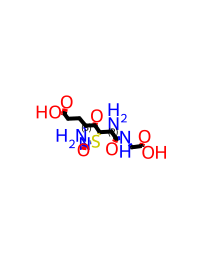 N[C@H](C(=O)NCC(=O)O)C(SN=O)C(=O)[C@@H](N)CCC(=O)O